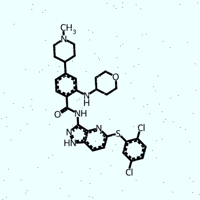 CN1CCC(c2ccc(C(=O)Nc3n[nH]c4ccc(Sc5cc(Cl)ccc5Cl)nc34)c(NC3CCOCC3)c2)CC1